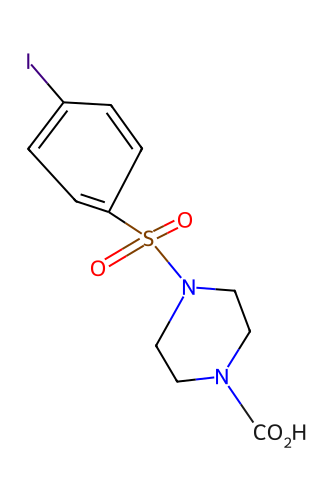 O=C(O)N1CCN(S(=O)(=O)c2ccc(I)cc2)CC1